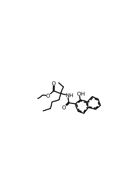 CCCCC(CC)(NC(=O)c1ccc2ccccc2c1O)C(=O)OCC